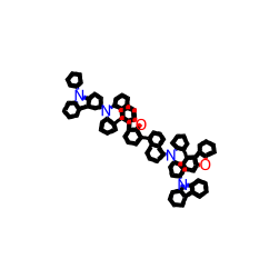 c1ccc(-n2c3ccccc3c3cc(N(c4ccccc4-c4cccc5oc6c(-c7cccc8c(N(c9ccc(-n%10c%11ccccc%11c%11ccccc%11%10)cc9)c9ccccc9-c9cccc%10oc%11ccccc%11c9%10)cccc78)cccc6c45)c4cccc5ccccc45)ccc32)cc1